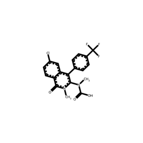 CN(C(=O)O)c1c(-c2ccc(C(F)(F)F)cc2)c2cc(Cl)ccc2c(=O)n1C